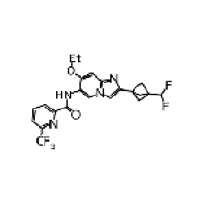 CCOc1cc2nc(C34CC(C(F)F)(C3)C4)cn2cc1NC(=O)c1cccc(C(F)(F)F)n1